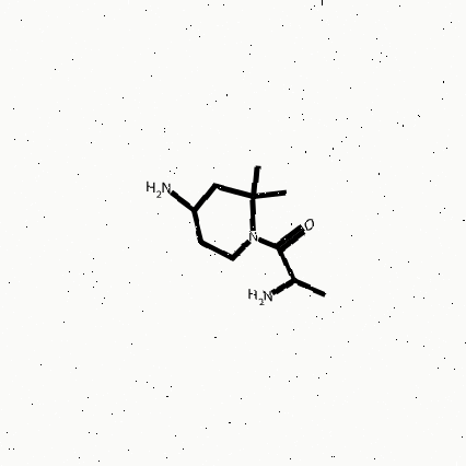 CC(N)C(=O)N1CCC(N)CC1(C)C